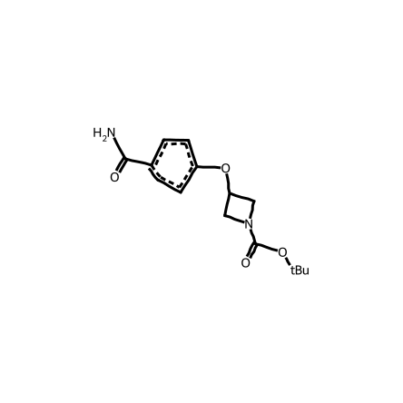 CC(C)(C)OC(=O)N1CC(Oc2ccc(C(N)=O)cc2)C1